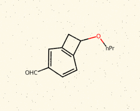 CCCOC1Cc2cc(C=O)ccc21